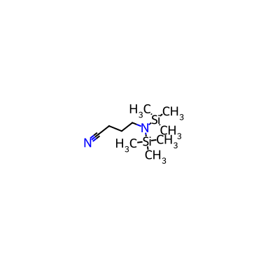 C[Si](C)(C)N(CCCC#N)[Si](C)(C)C